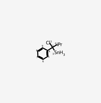 CC(C)[C](Cl)([SnH3])c1ccccc1